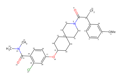 COc1cccc(C(C(=O)N2CCC3(CCC(Oc4ccc(C(=O)N(C)C)c(Cl)c4)CC3)CC2)C(F)(F)F)c1